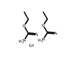 CCOC(N)=S.CCOC(N)=S.[Cu]